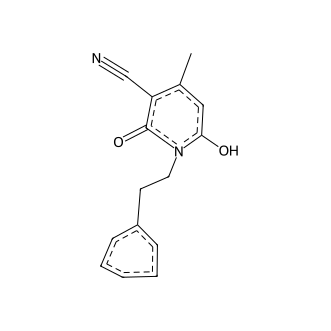 Cc1cc(O)n(CCc2ccccc2)c(=O)c1C#N